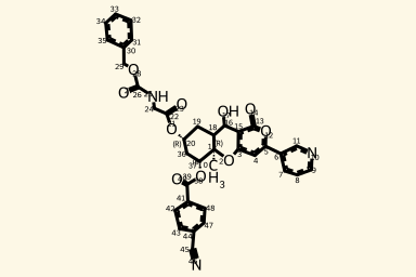 C[C@@]12Oc3cc(-c4cccnc4)oc(=O)c3C(O)C1C[C@@H](OC(=O)CNC(=O)OCc1ccccc1)C[C@H]2OC(=O)c1ccc(C#N)cc1